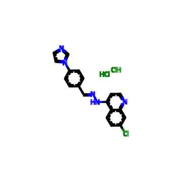 Cl.Cl.Clc1ccc2c(NN=Cc3ccc(-n4ccnc4)cc3)ccnc2c1